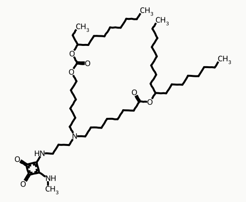 CCCCCCCCC(CCCCCCCC)OC(=O)CCCCCCCN(CCCCCCOC(=O)OC(CC)CCCCCCCC)CCCNc1c(NC)c(=O)c1=O